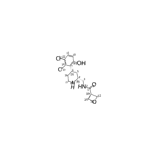 O=C(NC[C@H]1C[C@@H](c2c(O)ccc(Cl)c2Cl)CCN1)C1COC1